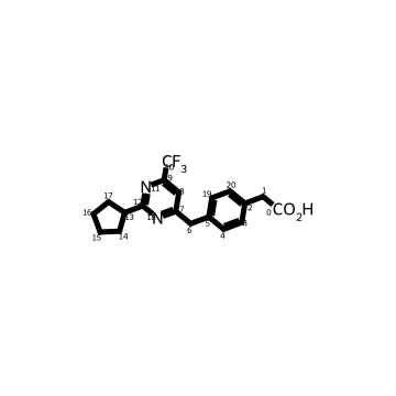 O=C(O)Cc1ccc(Cc2cc(C(F)(F)F)nc(C3CCCC3)n2)cc1